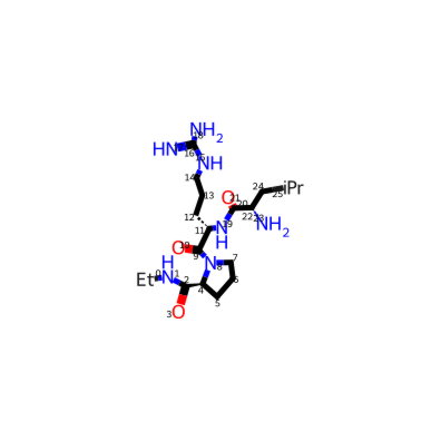 CCNC(=O)[C@@H]1CCCN1C(=O)[C@H](CCCNC(=N)N)NC(=O)[C@@H](N)CC(C)C